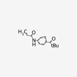 C=CC(=O)Nc1ccc(C(=O)C(C)(C)C)cc1